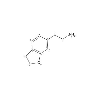 NCCc1ccc2c(c1)OCC2